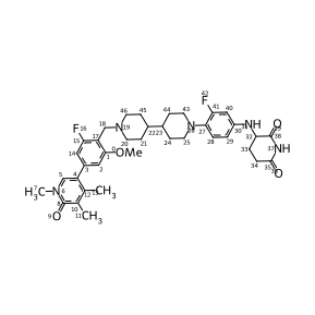 COc1cc(-c2cn(C)c(=O)c(C)c2C)cc(F)c1CN1CCC(C2CCN(c3ccc(NC4CCC(=O)NC4=O)cc3F)CC2)CC1